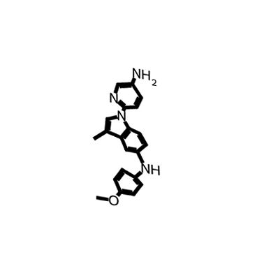 COc1ccc(Nc2ccc3c(c2)c(C)cn3-c2ccc(N)cn2)cc1